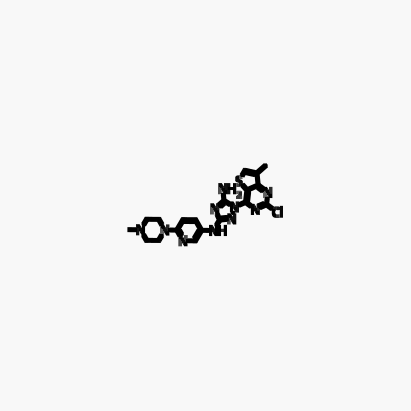 Cc1csc2c(-n3nc(Nc4ccc(N5CCN(C)CC5)nc4)nc3N)nc(Cl)nc12